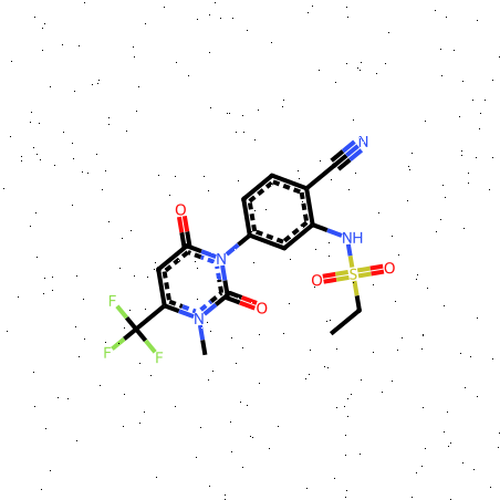 CCS(=O)(=O)Nc1cc(-n2c(=O)cc(C(F)(F)F)n(C)c2=O)ccc1C#N